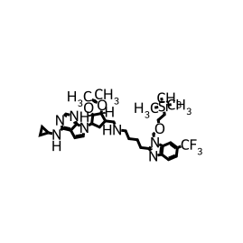 CC1(C)O[C@@H]2C(CNCCCCc3nc4ccc(C(F)(F)F)cc4n3COCC[Si](C)(C)C)CC(n3ccc4c(NC5CC5)ncnc43)[C@@H]2O1